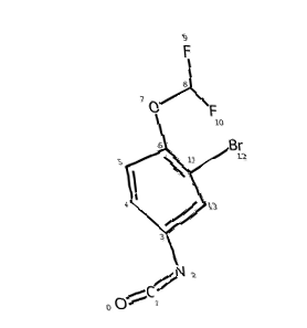 O=C=Nc1ccc(OC(F)F)c(Br)c1